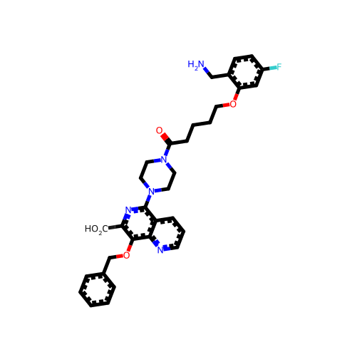 NCc1ccc(F)cc1OCCCCC(=O)N1CCN(c2nc(C(=O)O)c(OCc3ccccc3)c3ncccc23)CC1